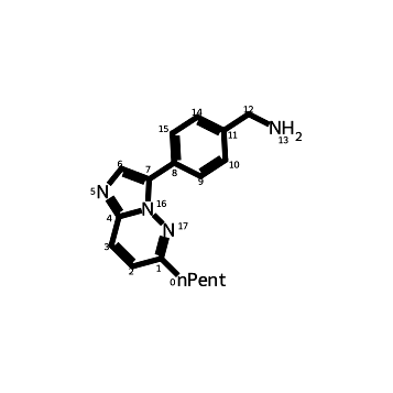 CCCCCc1ccc2ncc(-c3ccc(CN)cc3)n2n1